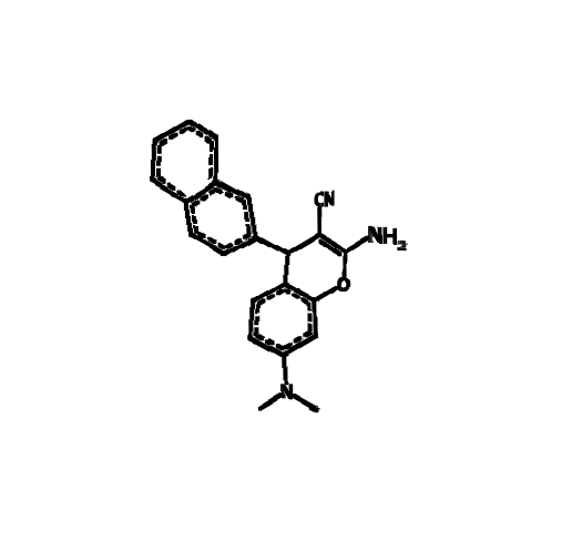 CN(C)c1ccc2c(c1)OC(N)=C(C#N)C2c1ccc2ccccc2c1